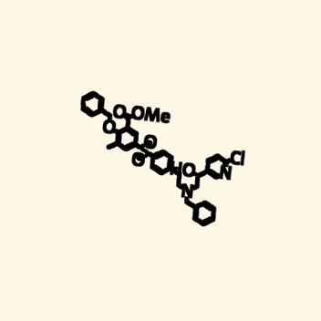 COC(=O)c1cc(S(=O)(=O)c2ccc(CCN(Cc3ccccc3)C[C@@H](O)c3ccc(Cl)nc3)cc2)cc(C)c1OCc1ccccc1